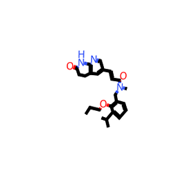 CCCOc1c(CN(C)C(=O)C=Cc2cnc3c(c2)CCC(=O)N3)cccc1C(C)C